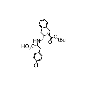 CC(C)(C)OC(=O)N1Cc2ccccc2C[C@H]1CN[C@H](Cc1ccc(Cl)cc1)C(=O)O